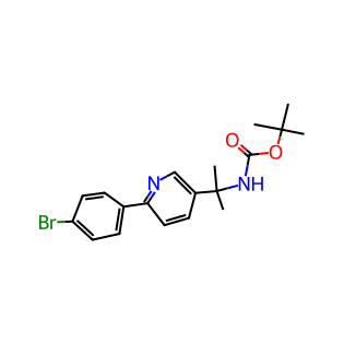 CC(C)(C)OC(=O)NC(C)(C)c1ccc(-c2ccc(Br)cc2)nc1